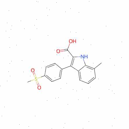 Cc1cccc2c(-c3ccc(S(C)(=O)=O)cc3)c(C(=O)O)[nH]c12